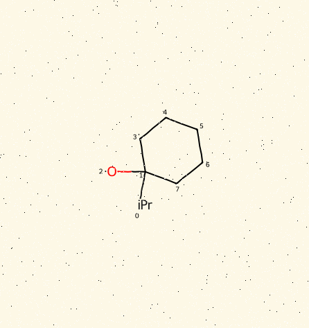 CC(C)C1([O])CCCCC1